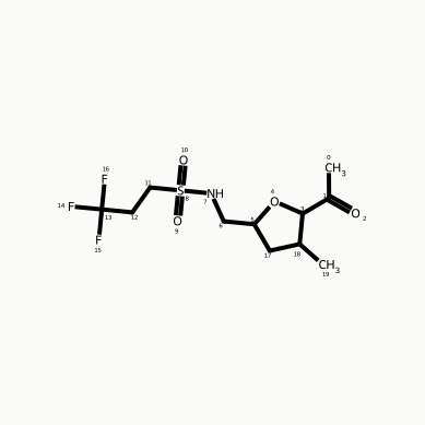 CC(=O)C1OC(CNS(=O)(=O)CCC(F)(F)F)CC1C